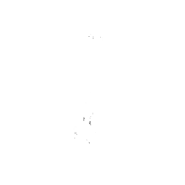 CCCCCCCCCCCCCCCCCN1C=CN(C)C1CC